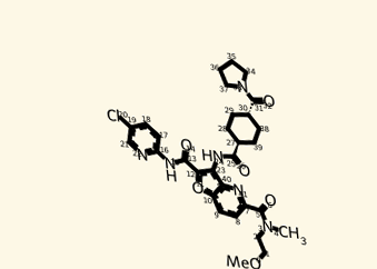 COCCN(C)C(=O)c1ccc2oc(C(=O)Nc3ccc(Cl)cn3)c(NC(=O)[C@H]3CC[C@H](C(=O)N4CCCC4)CC3)c2n1